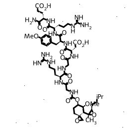 COc1ccc(C[C@H](NC(=O)[C@H](CC(=O)O)NC(=O)CNC(=O)[C@H](CCCNC(=N)N)NC(=O)CNC(=O)O[C@@H]2CC[C@]3(CO3)[C@@H]([C@@]3(C)O[C@@H]3CCC(C)C)[C@@H]2OC)C(=O)N[C@@H](CCCNC(=N)N)C(=O)N[C@@H](CCC(=O)O)C(N)=O)cc1